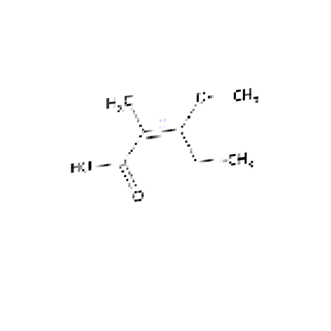 CC/C(OC)=C(/C)C(=O)O